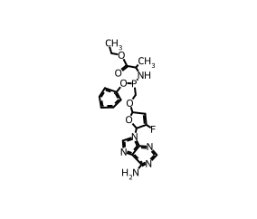 CCOC(=O)C(C)NP(COC1C=C(F)C(n2cnc3c(N)ncnc32)O1)Oc1ccccc1